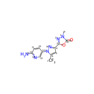 Cn1nc(-c2cc(C(F)(F)F)n(-c3ccc(N)nc3)n2)oc1=O